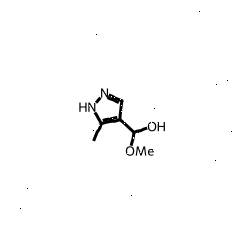 COC(O)c1cn[nH]c1C